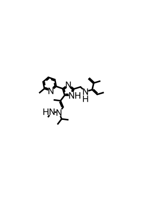 C=C(C)/C(=C\C)NCc1nc(-c2cccc(C)n2)c(/C(C)=C/N(NC)C(C)C)[nH]1